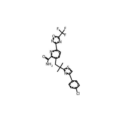 CC(C)(Cc1ccc(-c2noc(C(F)(F)F)n2)nc1C(N)=O)c1nc(-c2ccc(Cl)cc2)cs1